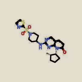 C[C@H]1CCC[C@H]1n1c(=O)ccc2cnc(NC3CCN(S(=O)(=O)c4nccs4)CC3)nc21